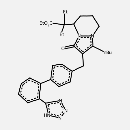 CCCCc1c(Cc2ccc(-c3ccccc3-c3nnn[nH]3)cc2)c(=O)n2n1CCCC2C(CC)(CC)C(=O)OCC